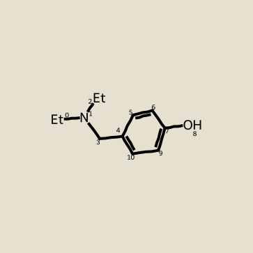 CCN(CC)Cc1ccc(O)cc1